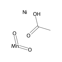 CC(=O)O.[Ni].[O]=[Mn]=[O]